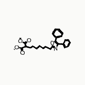 COC(=O)C(CCCCCCCc1nc(-c2ccccc2)c(-c2ccccc2)o1)C(=O)OC